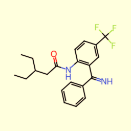 CCC(CC)CC(=O)Nc1ccc(C(F)(F)F)cc1C(=N)c1ccccc1